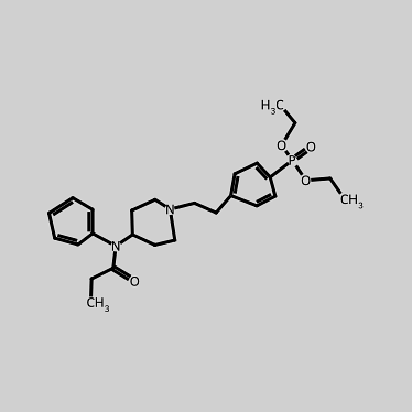 CCOP(=O)(OCC)c1ccc(CCN2CCC(N(C(=O)CC)c3ccccc3)CC2)cc1